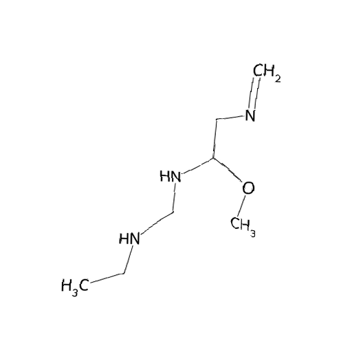 C=NCC(NCNCC)OC